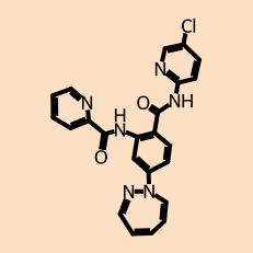 O=C(Nc1cc(N2C=CC=CC=N2)ccc1C(=O)Nc1ccc(Cl)cn1)c1ccccn1